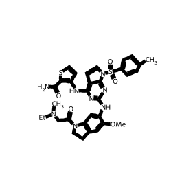 CCN(C)CC(=O)N1CCc2cc(OC)c(Nc3nc(Nc4ccsc4C(N)=O)c4ccn(S(=O)(=O)c5ccc(C)cc5)c4n3)cc21